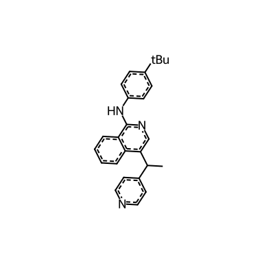 CC(c1ccncc1)c1cnc(Nc2ccc(C(C)(C)C)cc2)c2ccccc12